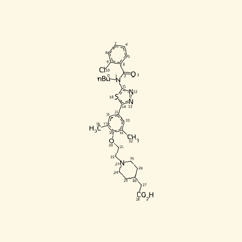 CCCCN(C(=O)c1ccccc1Cl)c1nnc(-c2cc(C)c(OCCN3CCC(CC(=O)O)CC3)c(C)c2)s1